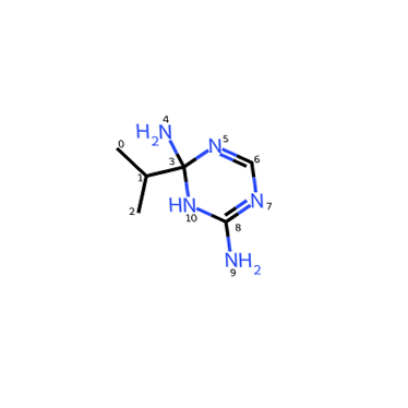 CC(C)C1(N)N=CN=C(N)N1